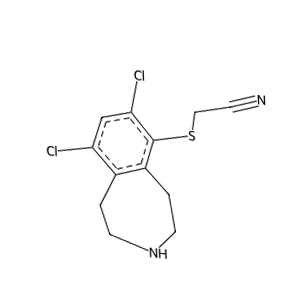 N#CCSc1c(Cl)cc(Cl)c2c1CCNCC2